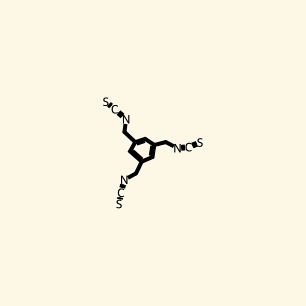 S=C=NCc1cc(CN=C=S)cc(CN=C=S)c1